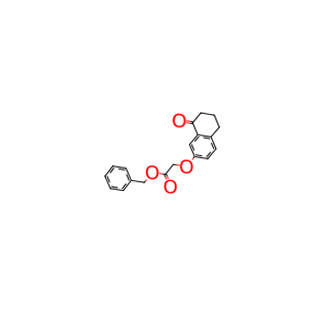 O=C(COc1ccc2c(c1)C(=O)CCC2)OCc1ccccc1